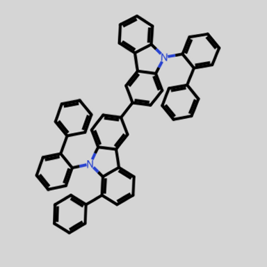 c1ccc(-c2ccccc2-n2c3ccccc3c3cc(-c4ccc5c(c4)c4cccc(-c6ccccc6)c4n5-c4ccccc4-c4ccccc4)ccc32)cc1